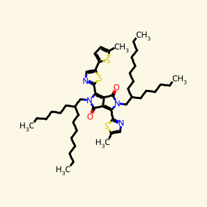 CCCCCCCCC(CCCCCC)CN1C(=O)C2=C(c3ncc(-c4ccc(C)s4)s3)N(CC(CCCCCC)CCCCCCCC)C(=O)C2=C1c1ncc(C)s1